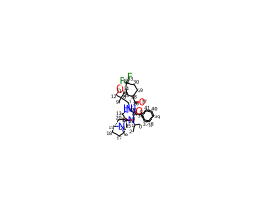 CC(C)N1C(=O)N(CC2(C)COC2)CC12CC1CCC(C2)N1CC[C@H](NC(=O)C1CCC(F)(F)CC1)c1ccccc1